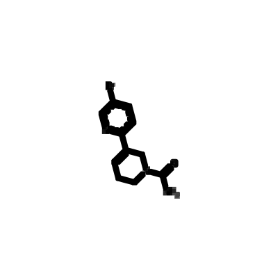 NC(=O)N1CCC=C(c2ccc(Br)cn2)C1